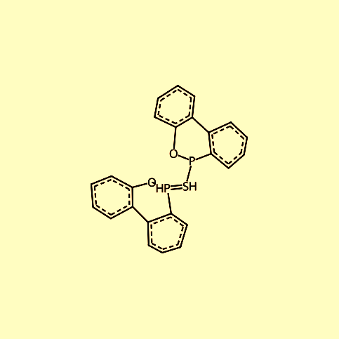 c1ccc2c(c1)OP([SH]=[PH]1Oc3ccccc3-c3ccccc31)c1ccccc1-2